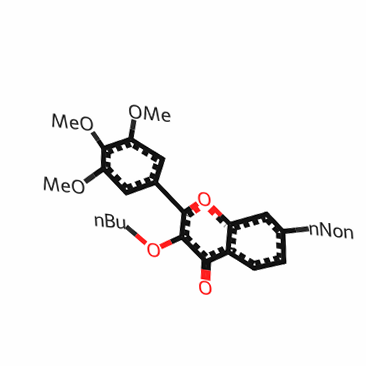 CCCCCCCCCc1ccc2c(=O)c(OCCCC)c(-c3cc(OC)c(OC)c(OC)c3)oc2c1